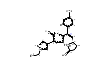 CC(C)Cn1cc(-c2ccc(/C(=C\[C@H]3CCC(=O)N3)c3ccc(C(C)(C)C)cc3)[nH]c2=O)cn1